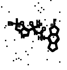 CC[C@]1(C)Cn2ncc(S(N)(=O)=NC(=O)Nc3c4c(cc5c3C[C@H](F)C5)CCC4)c2O1